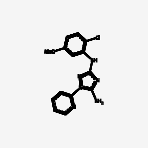 COc1ccc(Cl)c(Nc2nc(N)n(-c3ccccn3)n2)c1